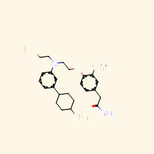 COc1cc(CC(N)=O)ccc1OCCN(CCO)c1cccc(C2CCC(C(C)(C)C)CC2)c1